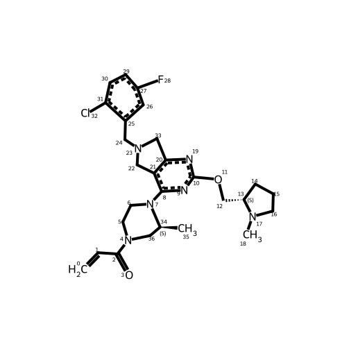 C=CC(=O)N1CCN(c2nc(OC[C@@H]3CCCN3C)nc3c2CN(Cc2cc(F)ccc2Cl)C3)[C@@H](C)C1